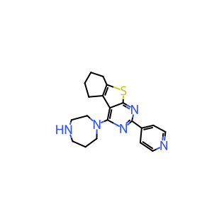 c1cc(-c2nc(N3CCCNCC3)c3c4c(sc3n2)CCCC4)ccn1